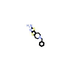 Nc1nc2sc3c(c2s1)CCN(Cc1ccccc1)CC3